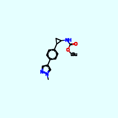 Cn1cc(-c2ccc(C3CC3NC(=O)OC(C)(C)C)cc2)cn1